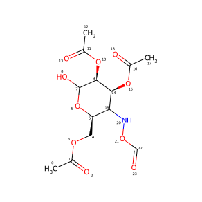 CC(=O)OC[C@H]1OC(O)[C@@H](OC(C)=O)[C@@H](OC(C)=O)C1NOC=O